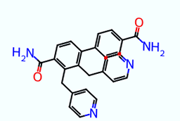 NC(=O)c1ccc(-c2ccc(C(N)=O)c(Cc3ccncc3)c2Cc2ccncc2)cc1